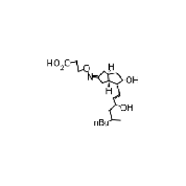 CCCCC(C)CC(O)C=C[C@H]1[C@@H]2CC(=NOCCC(=O)O)C[C@H]2C[C@@H]1O